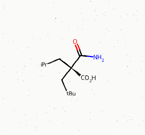 CC(C)C[C@@](CC(C)(C)C)(C(N)=O)C(=O)O